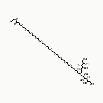 CC(=O)CN(C)C(=O)CCOCCOCCOCCOCCOCCOCCOCCOCCOCCOCCOCCOCCN(C[C@H](O)[C@@H](O)[C@H](O)[C@H](O)CO)C[C@H](O)[C@@H](O)[C@H](O)[C@H](O)CO